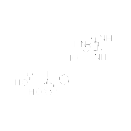 Nc1nc(N)c2c(CC(O)CCCc3ccc(C(=O)N[C@@H](CCC(=O)O)C(=O)O)cc3)c[nH]c2n1